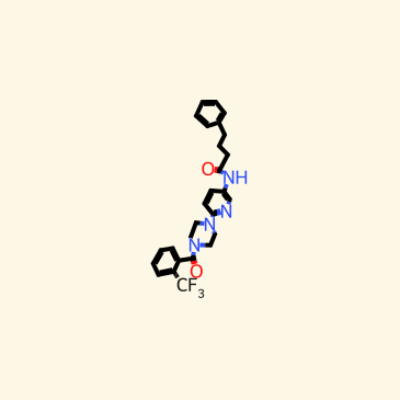 O=C(CCCc1ccccc1)Nc1ccc(N2CCN(C(=O)c3ccccc3C(F)(F)F)CC2)nc1